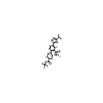 CC(C)c1noc(-c2ccc(N3CCN(C(=O)OC(C)(C)C)CC3)c(C(N)=O)c2)n1